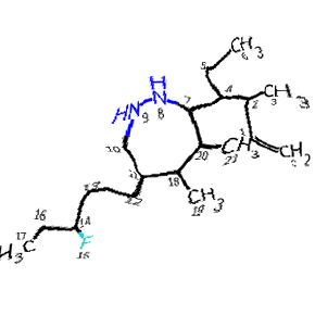 C=CC(C)C(CC)C1NNCC(CCC(F)CC)C(C)C1C